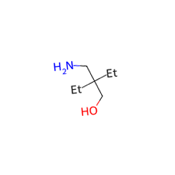 CCC(CC)(CN)CO